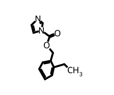 CCc1ccccc1COC(=O)n1ccnc1